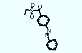 [CH2]CS(=O)(=O)C(=O)c1ccc(N=Nc2ccccc2)cc1